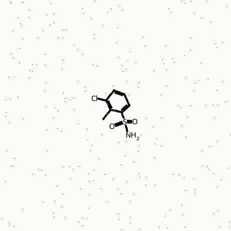 Cc1c(Cl)cccc1S(N)(=O)=O